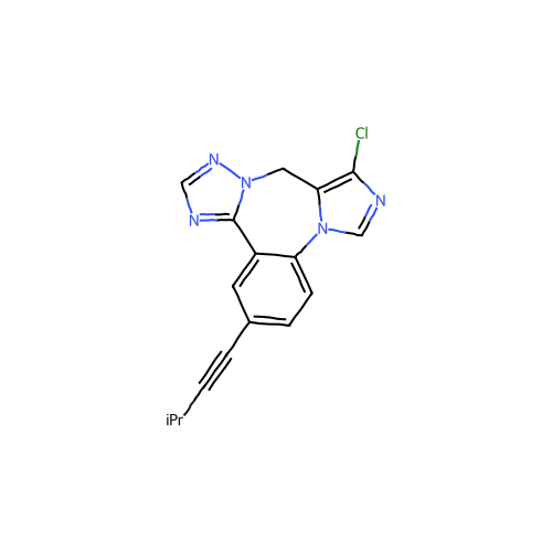 CC(C)C#Cc1ccc2c(c1)-c1ncnn1Cc1c(Cl)ncn1-2